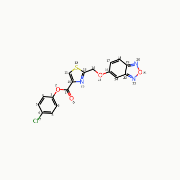 O=C(Oc1ccc(Cl)cc1)c1csc(COc2ccc3nonc3c2)n1